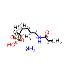 C=CC(=O)NCCCC(C)C(C)(C)S(=O)(=O)O.N